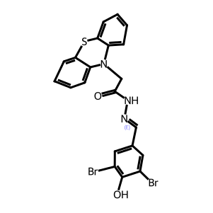 O=C(CN1c2ccccc2Sc2ccccc21)N/N=C/c1cc(Br)c(O)c(Br)c1